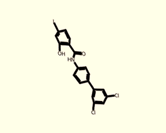 O=C(Nc1ccc(-c2cc(Cl)cc(Cl)c2)cc1)c1ccc(I)cc1O